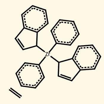 C1=C[CH]([Zr]([c]2ccccc2)([c]2ccccc2)[CH]2C=Cc3ccccc32)c2ccccc21.C=C